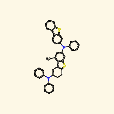 Cc1cc(N(c2ccccc2)c2ccc3c(c2)sc2ccccc23)cc2sc3c(c12)C=C(N(c1ccccc1)c1ccccc1)CC3